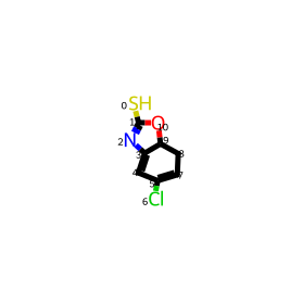 SC1=NC2=CC(Cl)=CCC2O1